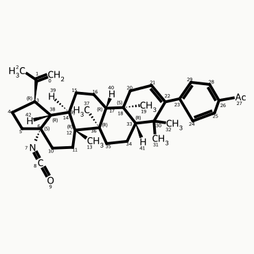 C=C(C)[C@@H]1CC[C@]2(N=C=O)CC[C@]3(C)[C@H](CC[C@@H]4[C@@]5(C)CC=C(c6ccc(C(C)=O)cc6)C(C)(C)[C@@H]5CC[C@]43C)[C@@H]12